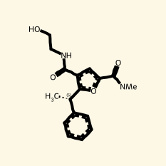 CNC(=O)c1cc(C(=O)NCCO)c([C@@H](C)c2ccccc2)o1